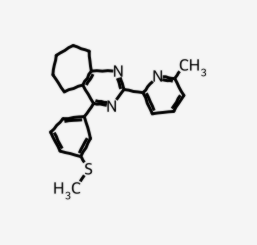 CSc1cccc(-c2nc(-c3cccc(C)n3)nc3c2CCCCC3)c1